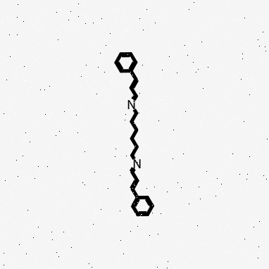 C(=C\c1ccccc1)/C=N/CCCCCC/N=C/C=C/c1ccccc1